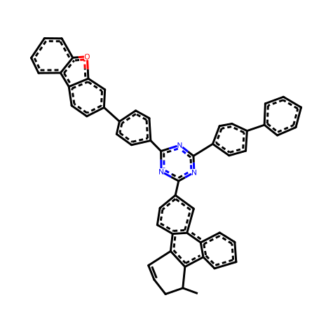 CC1CC=Cc2c1c1ccccc1c1cc(-c3nc(-c4ccc(-c5ccccc5)cc4)nc(-c4ccc(-c5ccc6c(c5)oc5ccccc56)cc4)n3)ccc21